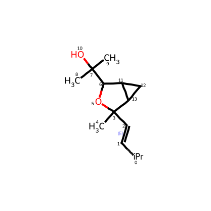 CC(C)/C=C/C1(C)OC(C(C)(C)O)C2CC21